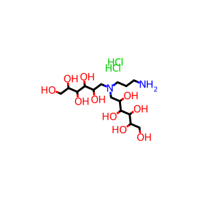 Cl.Cl.NCCCN(CC(O)C(O)C(O)C(O)CO)CC(O)C(O)C(O)C(O)CO